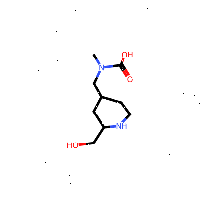 CN(CC1CCNC(CO)C1)C(=O)O